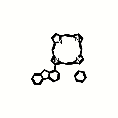 C1=Cc2cc3cc(-c4cccc5c4Cc4ccccc4-5)c(cc4nc(cc5ccc(cc1n2)[nH]5)C=C4)[nH]3.c1ccccc1